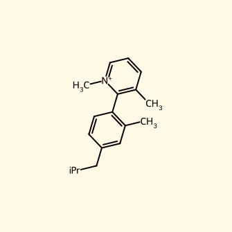 Cc1cc(CC(C)C)ccc1-c1c(C)ccc[n+]1C